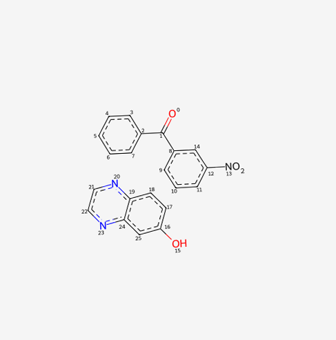 O=C(c1ccccc1)c1cccc([N+](=O)[O-])c1.Oc1ccc2nccnc2c1